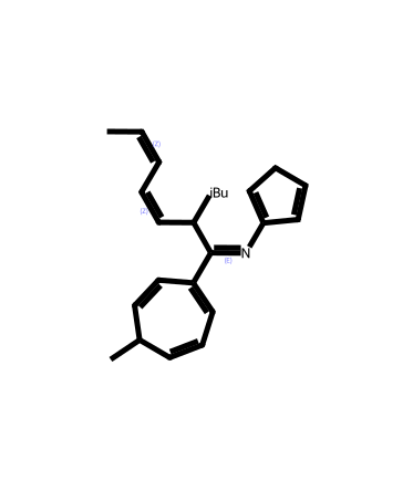 C/C=C\C=C/C(/C(=N\C1=CCC=C1)C1=CC=CC(C)C=C1)C(C)CC